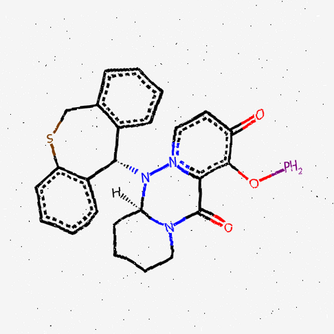 O=C1c2c(OP)c(=O)ccn2N([C@H]2c3ccccc3CSc3ccccc32)[C@@H]2CCCCN12